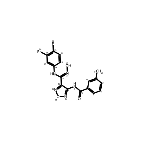 Cc1cccc(C(=O)Nc2nonc2C(=NO)Nc2ccc(F)c(Br)c2)c1